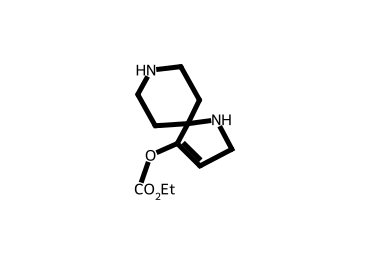 CCOC(=O)OC1=CCNC12CCNCC2